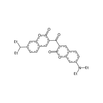 CCC(CC)c1ccc2cc(C(=O)c3cc4ccc(N(CC)CC)cc4oc3=O)c(=O)oc2c1